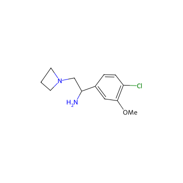 COc1cc(C(N)CN2CCC2)ccc1Cl